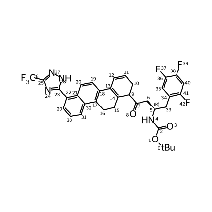 CC(C)(C)OC(=O)N[C@@H](CC(=O)C1CC=CC2=C1CCc1c2ccc2c(-c3nc(C(F)(F)F)n[nH]3)cccc12)Cc1cc(F)c(F)cc1F